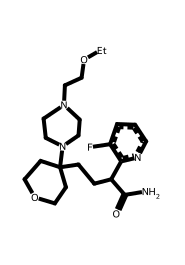 CCOCCN1CCN(C2(CCC(C(N)=O)c3ncccc3F)CCOCC2)CC1